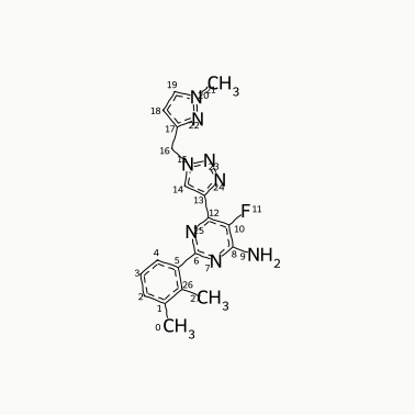 Cc1cccc(-c2nc(N)c(F)c(-c3cn(Cc4ccn(C)n4)nn3)n2)c1C